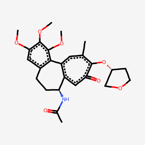 COc1cc2c(c(OC)c1OC)-c1cc(C)c(O[C@@H]3CCOC3)c(=O)cc1[C@@H](NC(C)=O)CC2